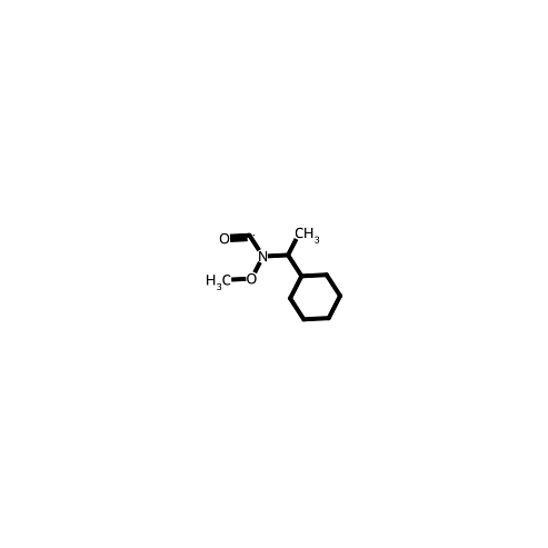 CON([C]=O)C(C)C1CCCCC1